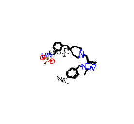 CCOC(=O)C1(Cc2cccc(CNS(C)(=O)=O)c2)CCN(Cc2cnc(C)n2Cc2ccc(C#N)cc2)CC1